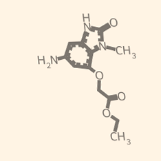 CCOC(=O)COc1cc(N)cc2[nH]c(=O)n(C)c12